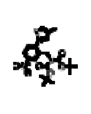 Cc1cnn(-c2ccc([N+](=O)[O-])cc2CN(C(=O)OC(C)(C)C)C(=O)OC(C)(C)C)c1